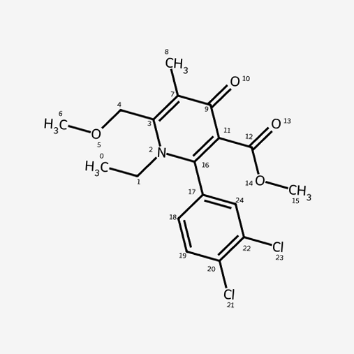 CCn1c(COC)c(C)c(=O)c(C(=O)OC)c1-c1ccc(Cl)c(Cl)c1